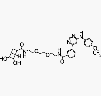 O=C(NCCOCCOCCNC(=O)C1CC2[C@H]1[C@@H](O)[C@H]2O)c1cccc(-c2cc(Nc3ccc(OC(F)(F)F)cc3)ncn2)c1